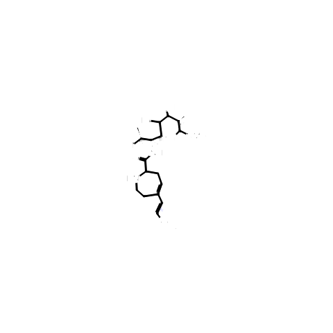 CSC1O[C@H]([C@H](NC(=O)C2CC=C(/C=C/C(=O)O)CCN2)[C@H](C)Cl)C(O)C(O)[C@H]1O